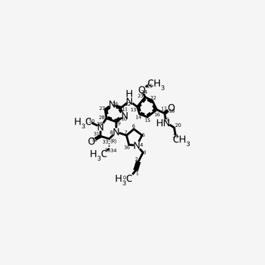 CC#CCN1CCC(N2c3nc(Nc4ccc(C(=O)NCC)cc4OC)ncc3N(C)C(=O)[C@H]2CC)C1